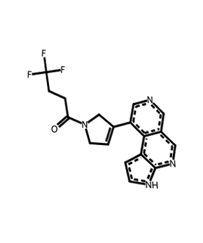 O=C(CCC(F)(F)F)N1CC=C(c2cncc3cnc4[nH]ccc4c23)C1